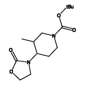 CC1CN(C(=O)OC(C)(C)C)CCC1N1CCOC1=O